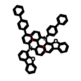 c1ccc(-c2ccc(-c3ccc(N(c4ccccc4-c4ccccc4N(c4ccc(-c5ccccc5)cc4)c4cccc5c4oc4ccccc45)c4cccc5c4oc4ccccc45)cc3)cc2)cc1